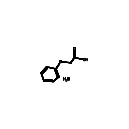 O.O=C(O)COc1ccccc1